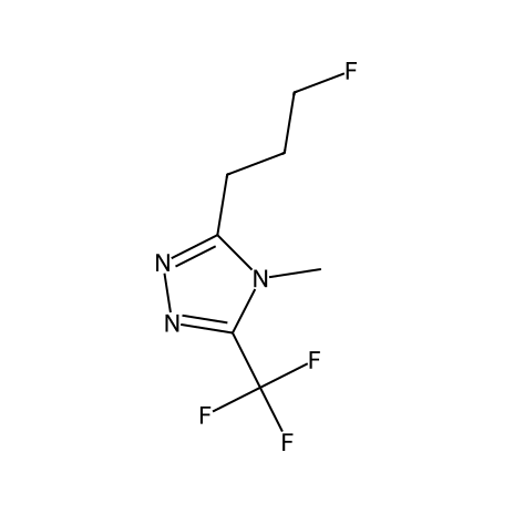 Cn1c(CCCF)nnc1C(F)(F)F